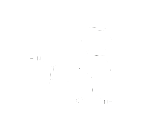 CCC(OC(N)=O)(OC(N)=O)c1ccccc1Cl